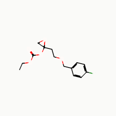 CCOC(=O)OC1(CCOCc2ccc(Cl)cc2)CO1